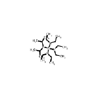 CC[N](CC)[Zr]([N](CC)CC)([N](CC)CC)[N](C(C)C)C(C)C